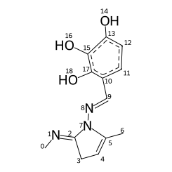 C/N=C1\CC=C(C)N1/N=C/c1ccc(O)c(O)c1O